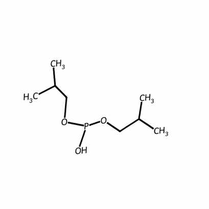 CC(C)COP(O)OCC(C)C